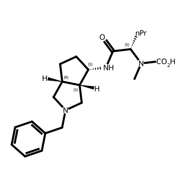 CCC[C@@H](C(=O)N[C@H]1CC[C@H]2CN(Cc3ccccc3)C[C@H]21)N(C)C(=O)O